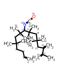 C=CCCC(C)(C)CC(C)(C)C(N=C=O)C(C)(C)CC(C)(C)CC(=C)C(=C)C